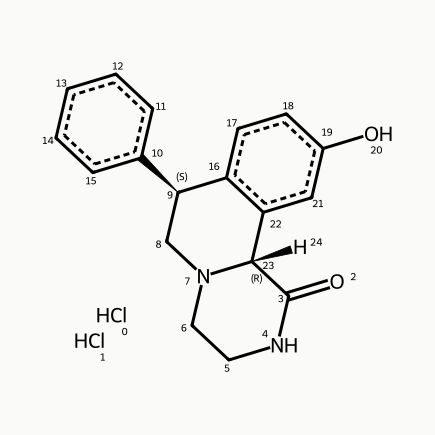 Cl.Cl.O=C1NCCN2C[C@@H](c3ccccc3)c3ccc(O)cc3[C@H]12